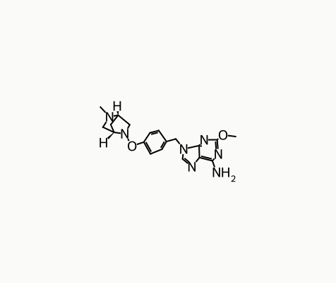 COc1nc(N)c2ncn(Cc3ccc(ON4C[C@@H]5C[C@H]4CN5C)cc3)c2n1